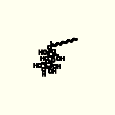 CCCCCCCCC[C@H](C)OC1OC(CO)[C@@H](O[C@H]2OC(CO)[C@@H](O)C(O)C2O)C(O)C1O